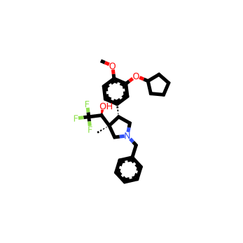 COc1ccc([C@@H]2CN(Cc3ccccc3)C[C@@]2(C)[C@H](O)C(F)(F)F)cc1OC1CCCC1